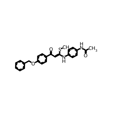 CS/C(=C\C(=O)c1ccc(OCc2ccccc2)cc1)Nc1ccc(NC(C)=O)cc1